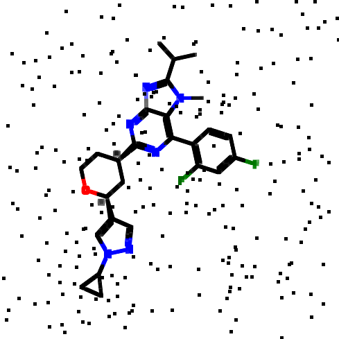 CC(C)c1nc2nc([C@@H]3CCO[C@H](c4cnn(C5CC5)c4)C3)nc(-c3ccc(F)cc3F)c2n1C